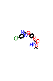 CC(C)ONC(=O)COc1ccc(Oc2cnc3cc(Cl)ccc3n2)cc1